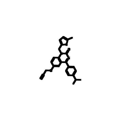 C#CCOc1ccc2c(c1)c(-c1ccc(C(C)C)cc1)nc(=O)n2Cc1ccc(C)s1